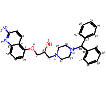 Nc1ccc2c(OCC(O)CN3CCN(C(c4ccccc4)c4ccccc4)CC3)cccc2n1